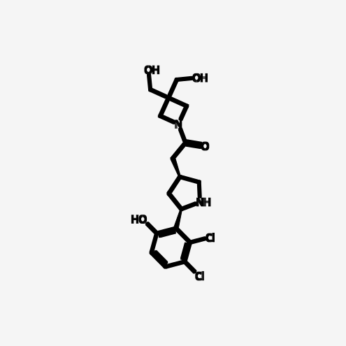 O=C(C[C@H]1CN[C@@H](c2c(O)ccc(Cl)c2Cl)C1)N1CC(CO)(CO)C1